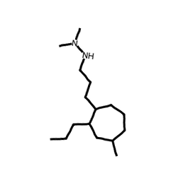 CCCC1CC(C)CCCC1CCCNN(C)C